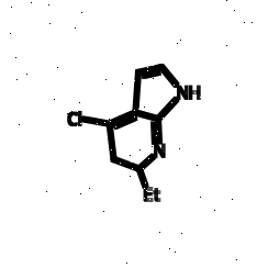 CCC1CC(Cl)=c2cc[nH]c2=N1